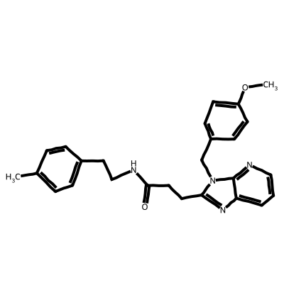 COc1ccc(Cn2c(CCC(=O)NCCc3ccc(C)cc3)nc3cccnc32)cc1